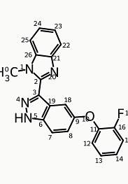 Cn1c(-c2n[nH]c3ccc(Oc4ccccc4F)cc23)nc2ccccc21